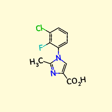 Cc1nc(C(=O)O)cn1-c1cccc(Cl)c1F